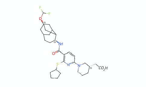 O=C(O)C[C@@H]1CCCN(c2ccc(C(=O)N[C@H]3CCC4CC5C[C@@](OC(F)F)(C4)CC53)c(SC3CCCC3)n2)C1